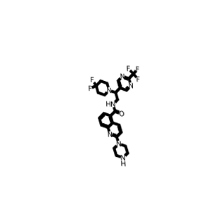 O=C(NCC(c1cnc(C(F)(F)F)nc1)N1CCC(F)(F)CC1)c1cccc2nc(N3CCNCC3)ccc12